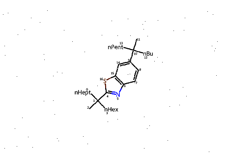 CCCCCCCC(C)(CCCCCC)c1nc2ccc(C(C)(CCCC)CCCCC)cc2s1